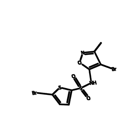 Cc1noc(NS(=O)(=O)c2ccc(Br)s2)c1Br